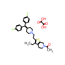 CCc1c(CCN2CCC(=C(c3ccc(F)cc3)c3ccc(F)cc3)CC2)sc2c1CCN(C(C)=O)C2.O=C(O)C(=O)O